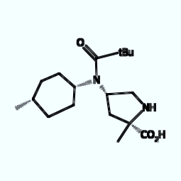 CC(C)(C)C(=O)N([C@@H]1CN[C@](C)(C(=O)O)C1)[C@H]1CC[C@@H](C)CC1